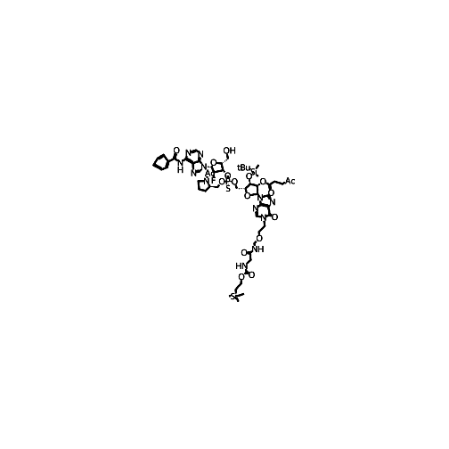 CC(=O)CCC(=O)O[C@@H]1[C@H](O[Si](C)(C)C(C)(C)C)[C@@H](CO[P@](=S)(OC[C@H]2CCCN2C(C)=O)O[C@H]2[C@@H](F)[C@H](n3cnc4c(NC(=O)c5ccccc5)ncnc43)O[C@@H]2CO)O[C@H]1n1cnc2c(=O)n(CCOCNC(=O)CNC(=O)OCC[Si](C)(C)C)cnc21